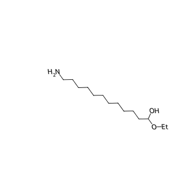 CCOC(O)CCCCCCCCCCCN